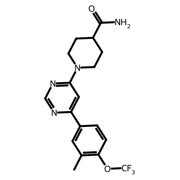 Cc1cc(-c2cc(N3CCC(C(N)=O)CC3)ncn2)ccc1OC(F)(F)F